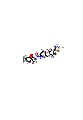 Cc1ncc(-c2cc(Oc3ccc(NC(=O)N4CCC5(CCC(F)(F)CC5)C4=O)nc3C)ccn2)s1